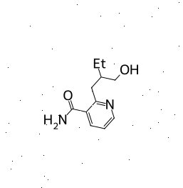 CCC(CO)Cc1ncccc1C(N)=O